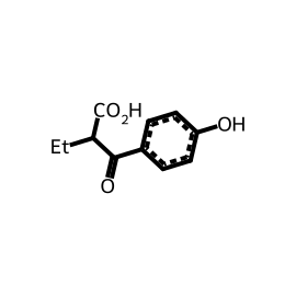 CCC(C(=O)O)C(=O)c1ccc(O)cc1